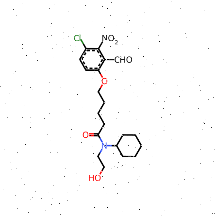 O=Cc1c(OCCCCC(=O)N(CCO)C2CCCCC2)ccc(Cl)c1[N+](=O)[O-]